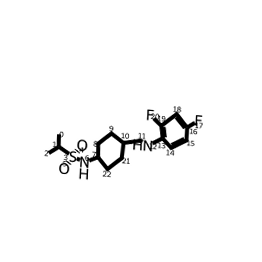 CC(C)S(=O)(=O)NC1CCC(CNc2ccc(F)cc2F)CC1